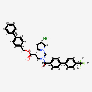 Cl.O=C(CCN(CN1CCCC1)C(=O)c1ccc(-c2ccc(C(F)(F)F)cc2)cc1)OCc1ccc(-c2ccccc2)cc1